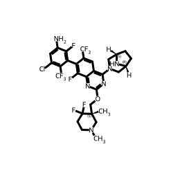 CN1CCC(F)(F)[C@](C)(COc2nc(N3C[C@H]4CC[C@@H](C3)N4)c3cc(C(F)(F)F)c(-c4c(F)c(N)cc(Cl)c4C(F)(F)F)c(F)c3n2)C1